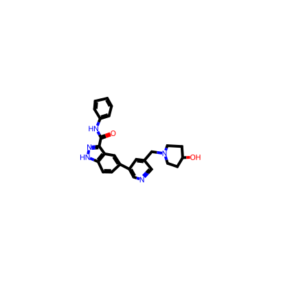 O=C(Nc1ccccc1)c1n[nH]c2ccc(-c3cncc(CN4CCC(O)CC4)c3)cc12